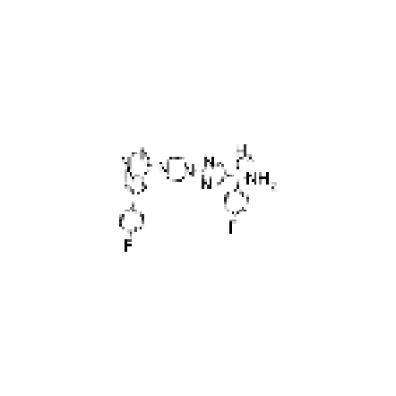 CC(N)(c1ccc(F)cc1)c1cnc(N2CCN(c3ncnn4cc(-c5ccc(F)cc5)cc34)CC2)nc1